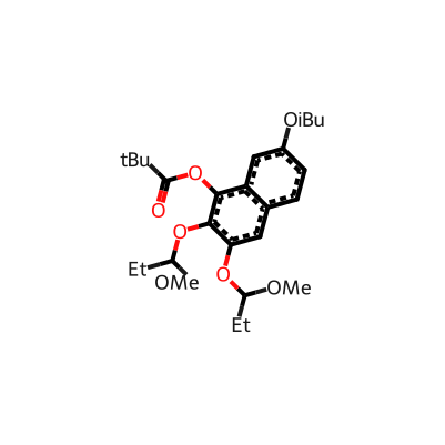 CCC(OC)Oc1cc2ccc(OCC(C)C)cc2c(OC(=O)C(C)(C)C)c1OC(CC)OC